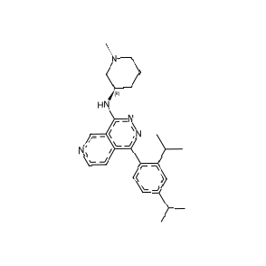 CC(C)c1ccc(-c2nnc(N[C@@H]3CCCN(C)C3)c3cnccc23)c(C(C)C)c1